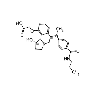 CCCNC(=O)c1ccc(N(C)[C@@H](CN2CC[C@H](O)C2)c2cccc(OCC(=O)O)c2)cc1